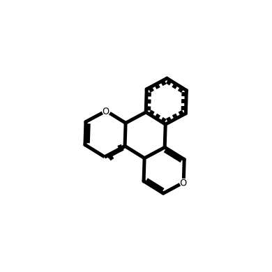 C1=CC2C=COC3c4ccccc4C4=COC=CC4C23C=C1